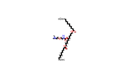 CCCCCCCCCCCCCCCCCCCC(=O)OCCCCCC(CCCCCOC(=O)CCCCCCCCCCCCCCCCCCC)OC(=O)NCCOCCN(C)C